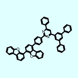 c1ccc(-c2cc(-c3ccccc3)cc(-c3cc(-c4ccccc4)nc(-c4ccc(-c5ccc(-c6cccc7c6oc6ccccc67)c6oc7ccccc7c56)cc4)n3)c2)cc1